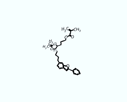 C=C(C)C(=O)OCCCC1OC(C)(C)O[C@H]1CCCCc1ccc2cc(-c3ccccc3)oc2c1